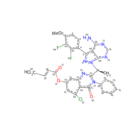 COc1ccc(-c2nn([C@@H](C)c3nc4cc(OC(=O)/C=C/C(=O)O)cc(Cl)c4c(=O)n3-c3ccccc3)c3ncnc(N)c23)c(F)c1F